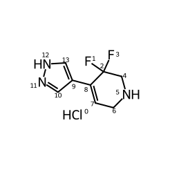 Cl.FC1(F)CNCC=C1c1cn[nH]c1